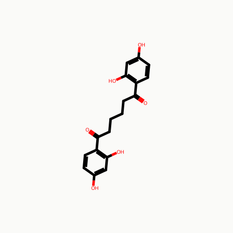 O=C(CCCCC(=O)c1ccc(O)cc1O)c1ccc(O)cc1O